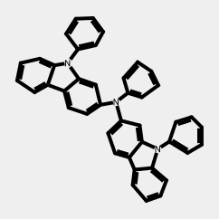 c1ccc(N(c2ccc3c4ccccc4n(-c4ccccc4)c3c2)c2ccc3c4ccccc4n(-c4ccccc4)c3c2)cc1